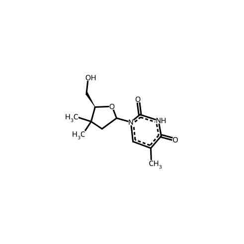 Cc1cn(C2CC(C)(C)[C@@H](CO)O2)c(=O)[nH]c1=O